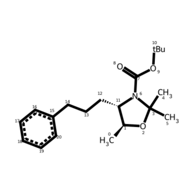 C[C@@H]1OC(C)(C)N(C(=O)OC(C)(C)C)[C@H]1CCCc1ccccc1